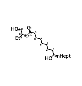 CCCCCCCC(O)CCCCCCCC(=O)OC(CC)CO